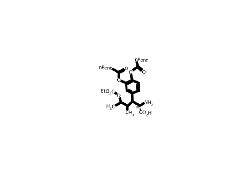 CCCCCC(=O)Oc1ccc(C(C(C)C(C)OC(=O)OCC)[C@H](N)C(=O)O)cc1OC(=O)CCCCC